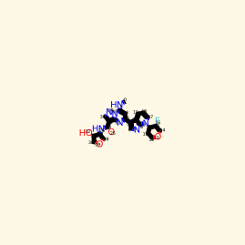 CNc1cc(-c2cnc3n([C@@H]4CCOC[C@@H]4F)cccc2-3)nc2c(C(=O)NC3COC[C@@H]3O)cnn12